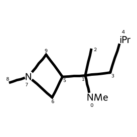 CNC(C)(CC(C)C)C1CN(C)C1